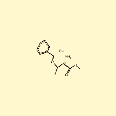 COC(=O)[C@@H](N)C(C)OCc1ccccc1.Cl